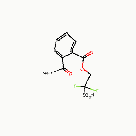 COC(=O)c1ccccc1C(=O)OCC(F)(F)S(=O)(=O)O